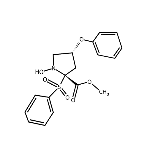 COC(=O)[C@]1(S(=O)(=O)c2ccccc2)C[C@@H](Oc2ccccc2)CN1O